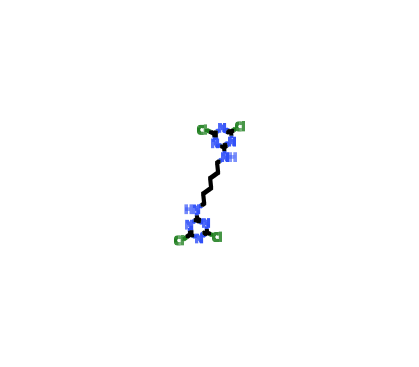 Clc1nc(Cl)nc(NCCCCCCNc2nc(Cl)nc(Cl)n2)n1